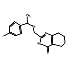 CC(NCc1nc2c(c(=O)[nH]1)COCC2)c1ccc(F)cc1